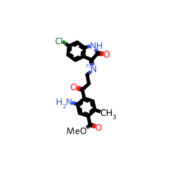 COC(=O)c1cc(N)c(C(=O)CC/N=C2/C(=O)Nc3cc(Cl)ccc32)cc1C